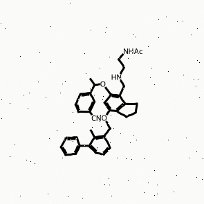 CC(=O)NCCNCc1c(OC(C)c2cccc(C#N)c2)cc(OCc2cccc(-c3ccccc3)c2C)c2c1CCC2